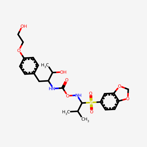 CC(C)C(NOC(=O)NC(Cc1ccc(OCCO)cc1)C(C)O)S(=O)(=O)c1ccc2c(c1)OCO2